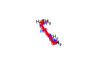 C[C@@H]1CN(c2ncc(-c3ccc4c(n3)N(Cc3cccnc3C#N)C(C)(C)C4=O)cn2)CCN1C(=O)Cn1cc(COCCOCCCNC(=O)N2CC(Oc3cccc(Oc4ccc(C(=O)N[C@@H](CCC(C)(C)C)C(=O)O)cn4)c3)C2)nn1